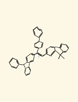 CC1(C)c2ccccc2-c2ccc(/C=C(\c3ccc(-c4ccccc4)cc3)c3ccc4c(c3)c3ccccc3n4-c3ccccc3)cc21